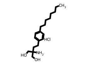 CCCCCCCCc1ccc(CCC(N)(CO)CO)cc1.Cl